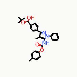 Cc1ccc(OC(=O)Nc2c(C)c(-c3ccc(C(O)OC(C)(C)C)cc3)nn2-c2ccccc2)cc1